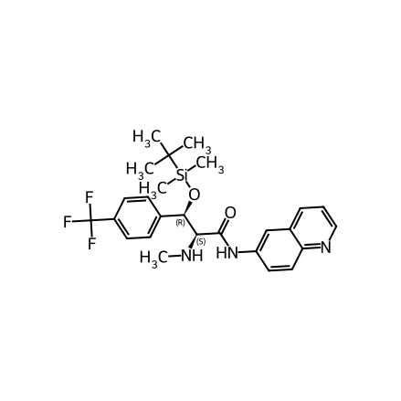 CN[C@H](C(=O)Nc1ccc2ncccc2c1)[C@H](O[Si](C)(C)C(C)(C)C)c1ccc(C(F)(F)F)cc1